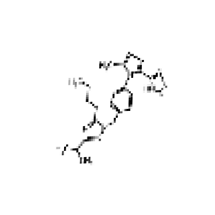 CCCCc1nc(C(C)C)nn1Cc1ccc(-n2c(C)ccc2-c2nnn[nH]2)cc1